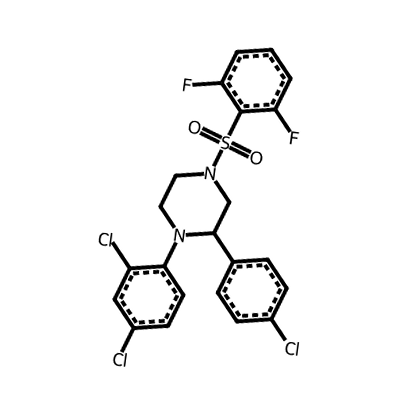 O=S(=O)(c1c(F)cccc1F)N1CCN(c2ccc(Cl)cc2Cl)C(c2ccc(Cl)cc2)C1